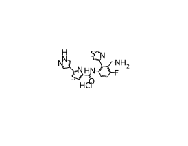 Cl.NCc1c(F)ccc(NC(=O)c2csc(-c3cn[nH]c3)n2)c1-c1cscn1